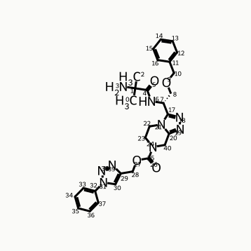 CC(C)(N)C(=O)N[C@H](COCc1ccccc1)c1nnc2n1CCN(C(=O)OCc1cn(-c3ccccc3)nn1)C2